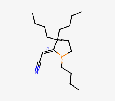 CCCCP1CCC(CCCC)(CCCC)/C1=C/C#N